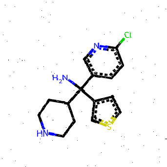 NC(c1ccc(Cl)nc1)(c1ccsc1)C1CCNCC1